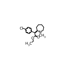 CCOC(=O)C(=C1CCCCCN1C)c1ccc(Cl)cc1